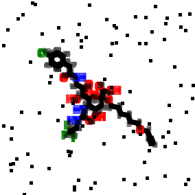 C#CCOCCCCCCO[C@]1(C(=O)O)C[C@H](O)[C@@H](NC(=O)NCC(F)(F)F)[C@H]([C@H](O)[C@H](O)CNC(=O)Cc2ccc(Cl)cc2)O1